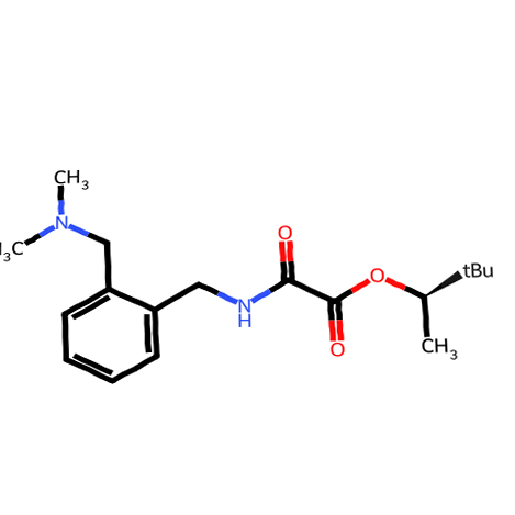 C[C@@H](OC(=O)C(=O)NCc1ccccc1CN(C)C)C(C)(C)C